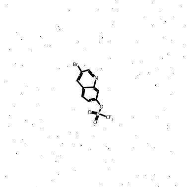 O=S(=O)(Oc1ccc2cc(Br)cnc2c1)C(F)(F)F